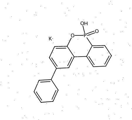 O=P1(O)Oc2ccc(-c3ccccc3)cc2-c2ccccc21.[K]